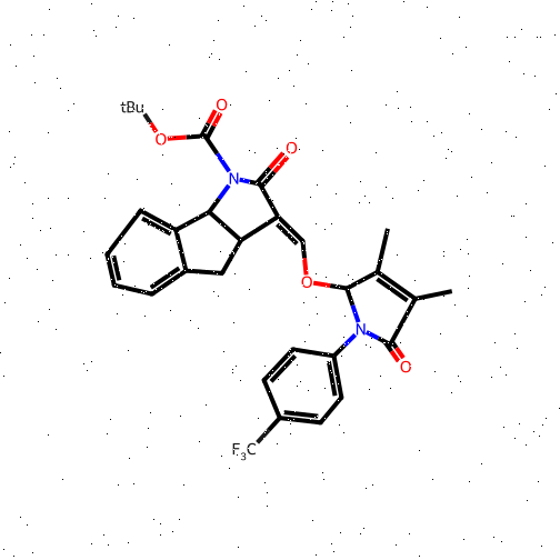 CC1=C(C)C(O/C=C2/C(=O)N(C(=O)OC(C)(C)C)C3c4ccccc4CC23)N(c2ccc(C(F)(F)F)cc2)C1=O